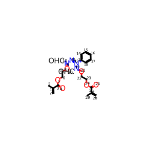 C=C(C)C(=O)OCCON(C=O)N=[N+](c1ccccc1)N(C=O)OCCOC(=O)C(=C)C